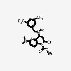 CCC1CC(N(Cc2cc(C(F)(F)F)cc(C(F)(F)F)c2)C(C)=O)c2nc(N(C)C)ccc2N1C(=O)OC(C)C